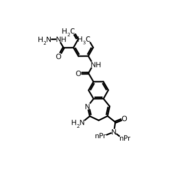 C=C/C(=C\C(=C/C)NC(=O)c1ccc2c(c1)N=C(N)CC(C(=O)N(CCC)CCC)=C2)C(=O)NN